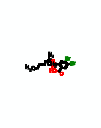 CCCCCC(C)(C)OC(=O)c1cc(Br)c(Br)cc1C(=O)O